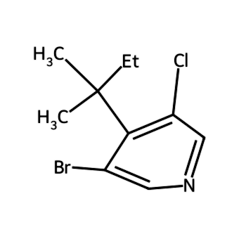 CCC(C)(C)c1c(Cl)cncc1Br